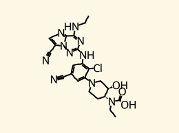 CCNc1nc(Nc2cc(C#N)cc(N3CC[C@@H](N(CC)C(=O)O)[C@H](O)C3)c2Cl)nn2c(C#N)cnc12